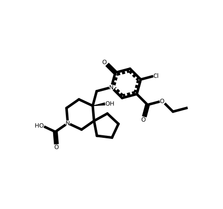 CCOC(=O)c1cn(C[C@@]2(O)CCN(C(=O)O)CC23CCCC3)c(=O)cc1Cl